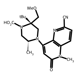 COC[C@]1(C(C)(C)C)CN(c2cc(=O)n(C)c3ccc(C#N)nc23)[C@H](C)CN1C(=O)O